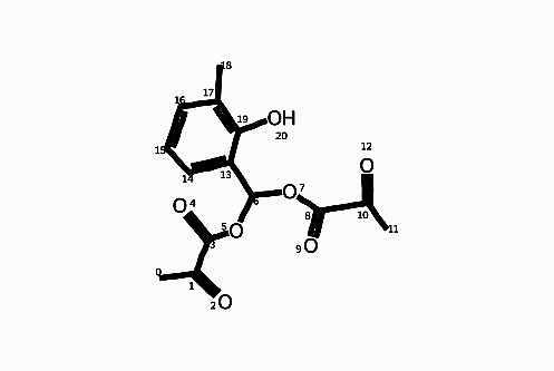 CC(=O)C(=O)OC(OC(=O)C(C)=O)c1cccc(C)c1O